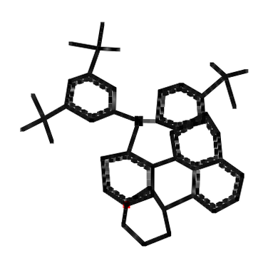 CC(C)(C)c1ccc(N(c2cc(C(C)(C)C)cc(C(C)(C)C)c2)c2ccccc2-c2cccc3cccc(C4CCCCC4)c23)cc1